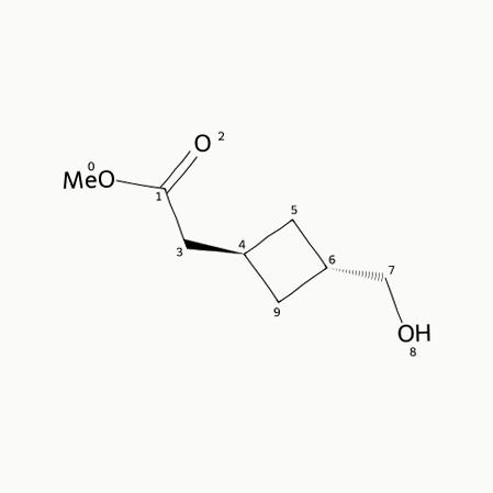 COC(=O)C[C@H]1C[C@H](CO)C1